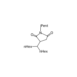 CCCCCCC(CCCCCC)C1CC(=O)N(C(C)CCC)C1=O